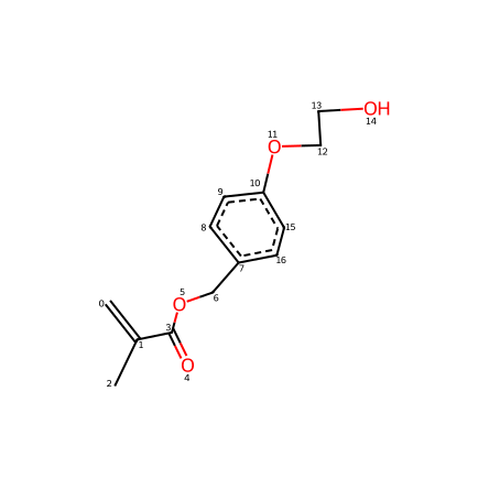 C=C(C)C(=O)OCc1ccc(OCCO)cc1